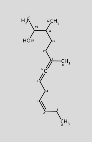 CC/C=C\CC=C=C(C)CCC(C)C(N)O